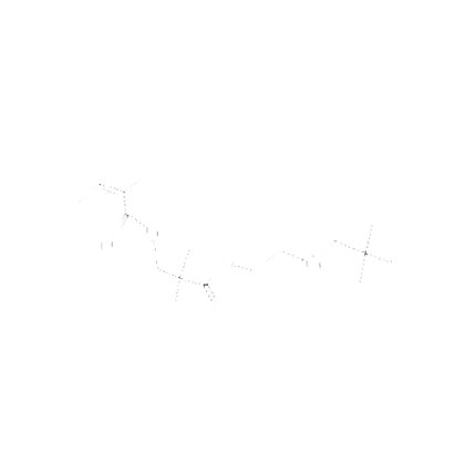 CC=C(C)C(=O)OCC(C)(C)C(=O)OCCOCC(C)(C)C